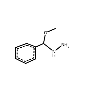 COC(NN)c1ccccc1